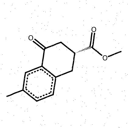 COC(=O)[C@H]1CC(=O)c2cc(C)ccc2C1